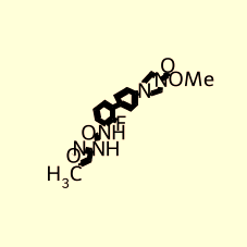 COC(=O)N1CCN(c2ccc(-c3cccc(NC(=O)Nc4cc(C)on4)c3F)cc2)CC1